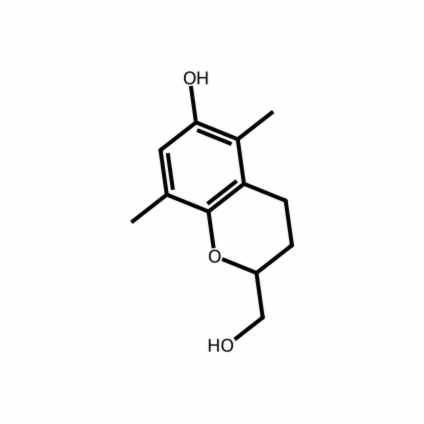 Cc1cc(O)c(C)c2c1OC(CO)CC2